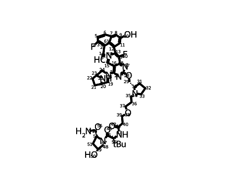 C#Cc1c(F)ccc2cc(O)cc(-c3ncc4c(N5CC6CCC(C5)N6)nc(OC[C@@H]5CCCN5CCCOCCC(=O)N[C@H](C(=O)N5C[C@H](O)C[C@H]5C(N)=O)C(C)(C)C)nc4c3F)c12